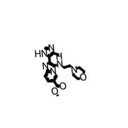 COC(=O)c1ccc2nc(-c3[nH]cnc3C)c(NCCN3CCOCC3)n2c1